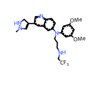 COc1cc(OC)cc(N(CCCNCC(F)(F)F)c2ccc3ncc(C4=CN(C)NC4)cc3c2)c1